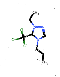 CCCN1C=NN(CC)C1C(Cl)(Cl)Cl